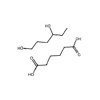 CCC(O)CCCO.O=C(O)CCCCC(=O)O